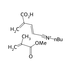 C=C(C)C(=O)OC.C=C(C=CC#[N+]CCCC)C(=O)O